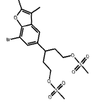 Cc1oc2c(Br)cc(C(CCOS(C)(=O)=O)CCOS(C)(=O)=O)cc2c1C